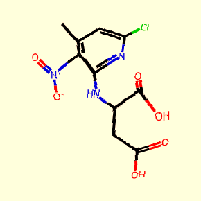 Cc1cc(Cl)nc(NC(CC(=O)O)C(=O)O)c1[N+](=O)[O-]